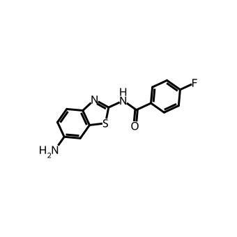 Nc1ccc2nc(NC(=O)c3ccc(F)cc3)sc2c1